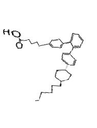 CCCCCC[C@H]1CC[C@H](c2ccc(-c3ccccc3-c3ccc(CCCCC(=O)O)cc3)cc2)CC1